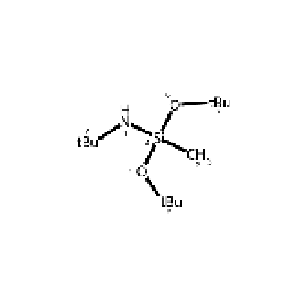 CC(C)(C)N[Si](C)(OC(C)(C)C)OC(C)(C)C